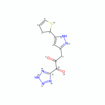 O=C(Cc1cc(C2CC=CS2)[nH]n1)C(=O)c1nn[nH]n1